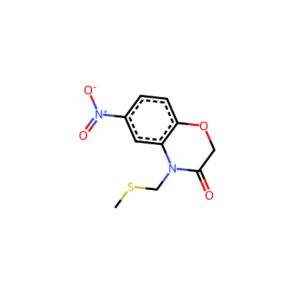 CSCN1C(=O)COc2ccc([N+](=O)[O-])cc21